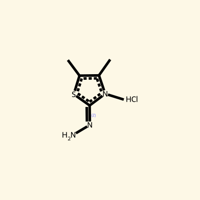 Cc1s/c(=N\N)n(C)c1C.Cl